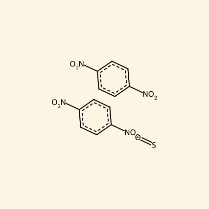 O=S.O=[N+]([O-])c1ccc([N+](=O)[O-])cc1.O=[N+]([O-])c1ccc([N+](=O)[O-])cc1